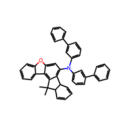 CC1(C)c2c(c(N(c3cccc(-c4ccccc4)c3)c3cccc(-c4ccccc4)c3)cc3oc4ccccc4c23)C2C=CC=CC21